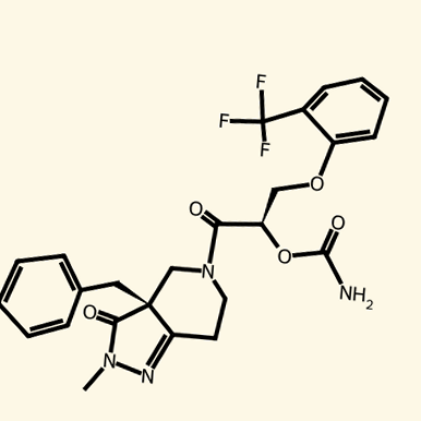 CN1N=C2CCN(C(=O)[C@@H](COc3ccccc3C(F)(F)F)OC(N)=O)C[C@@]2(Cc2ccccc2)C1=O